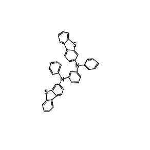 c1ccc(N(c2cccc(N(c3ccccc3)c3ccc4c(c3)sc3ccccc34)c2)c2ccc3c(c2)sc2ccccc23)cc1